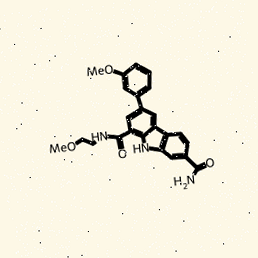 COCCNC(=O)c1cc(-c2cccc(OC)c2)cc2c1[nH]c1cc(C(N)=O)ccc12